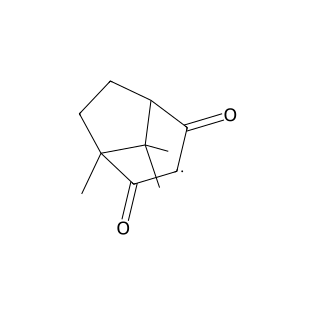 CC12CCC(C(=O)[CH]C1=O)C2(C)C